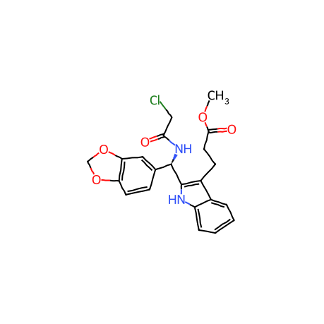 COC(=O)CCc1c([C@H](NC(=O)CCl)c2ccc3c(c2)OCO3)[nH]c2ccccc12